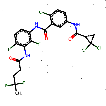 CC(F)(F)CCC(=O)Nc1c(F)ccc(NC(=O)c2cc(NC(=O)C3CC3(Cl)Cl)ccc2Cl)c1F